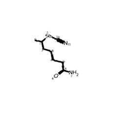 CC(CCCCC(N)=O)[Se]C#N